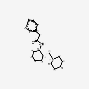 O=C(Cc1cccnc1)N[C@@H]1CCCC[C@H]1CN1CCCCC1